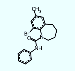 Cc1cc(Br)c2c(c1)CCCCN2C(=O)Nc1ccccc1